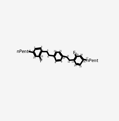 CCCCCc1ccc(CCc2ccc(CCc3ccc(CCCCC)cc3F)cc2)c(F)c1